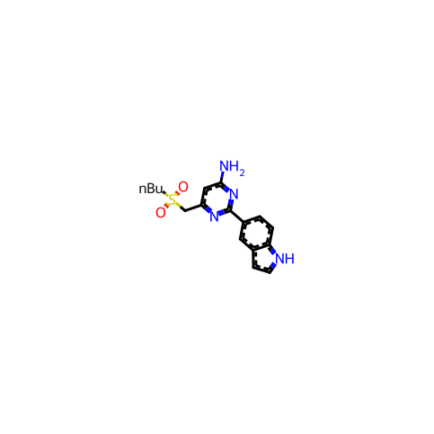 CCCCS(=O)(=O)Cc1cc(N)nc(-c2ccc3[nH]ccc3c2)n1